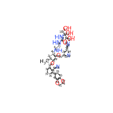 Cc1cc(CNCCNC(=O)NC(O)(CO)CO)c(OCc2cncc(C#N)c2)cc1OCc1cccc(-c2ccc3c(c2)OCCO3)c1C#N